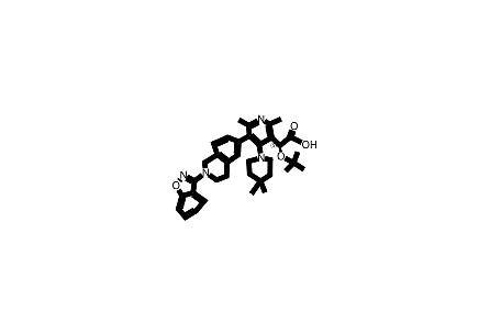 Cc1nc(C)c([C@H](OC(C)(C)C)C(=O)O)c(N2CCC(C)(C)CC2)c1-c1ccc2c(c1)CCN(c1noc3ccccc13)C2